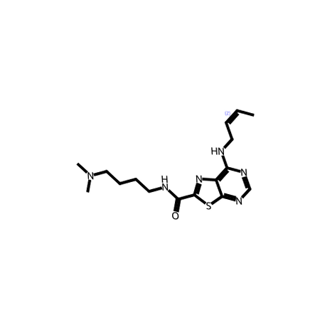 C/C=C\CNc1ncnc2sc(C(=O)NCCCCN(C)C)nc12